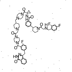 O=C(NC1(C(=O)N2CCN(CC3CCN(CC(=O)N4CCN(C(=O)c5cc(Cc6n[nH]c(=O)c7ccccc67)ccc5F)CC4)CC3)CC2)CC1)c1cccc(C2CCCN(C(=O)CNCc3ccc(F)cc3F)C2)c1